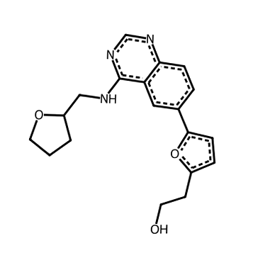 OCCc1ccc(-c2ccc3ncnc(NCC4CCCO4)c3c2)o1